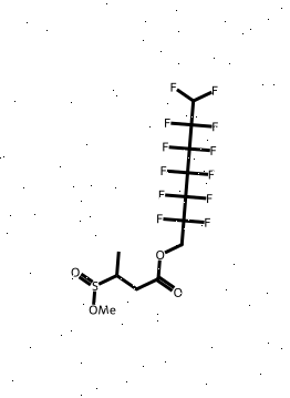 COS(=O)C(C)CC(=O)OCC(F)(F)C(F)(F)C(F)(F)C(F)(F)C(F)(F)C(F)F